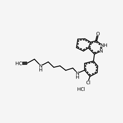 C#CCNCCCCCNc1cc(-c2n[nH]c(=O)c3ccccc23)ccc1Cl.Cl